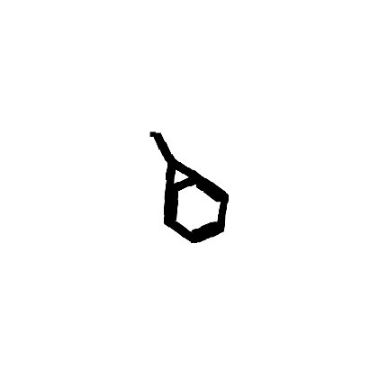 [CH2]C1c2ccccc21